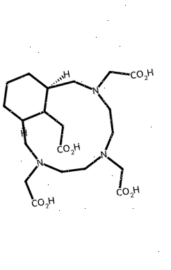 O=C(O)CC1[C@@H]2CCC[C@H]1CN(CC(=O)O)CCN(CC(=O)O)CCN(CC(=O)O)C2